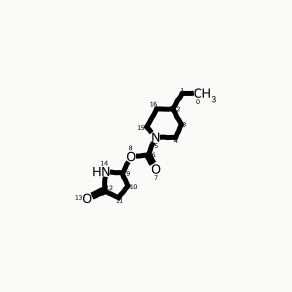 CCC1CCN(C(=O)OC2CCC(=O)N2)CC1